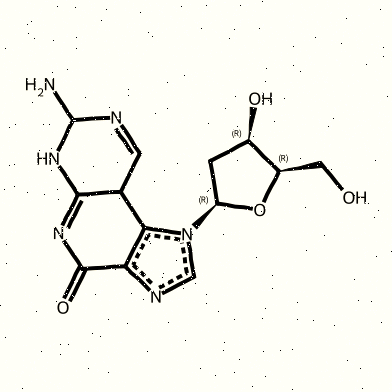 NC1N=CC2C(=NC(=O)c3ncn([C@H]4C[C@@H](O)[C@@H](CO)O4)c32)N1